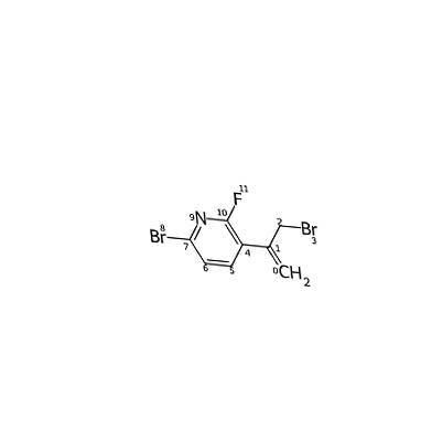 C=C(CBr)c1ccc(Br)nc1F